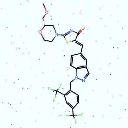 COC[C@@H]1CN(C2=NC(=O)/C(=C/c3ccc4c(cnn4Cc4ccc(C(F)(F)F)cc4C(F)(F)F)c3)S2)CCO1